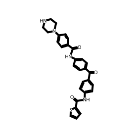 O=C(Nc1ccc(C(=O)c2ccc(NC(=O)c3cccs3)cc2)cc1)c1ccc(N2CCNCC2)cc1